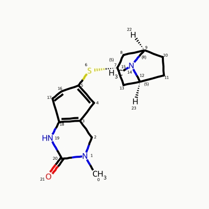 CN1Cc2cc(S[C@@H]3C[C@H]4CC[C@@H](C3)N4C)ccc2NC1=O